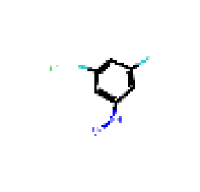 Cl.NNc1cc(F)cc(F)c1